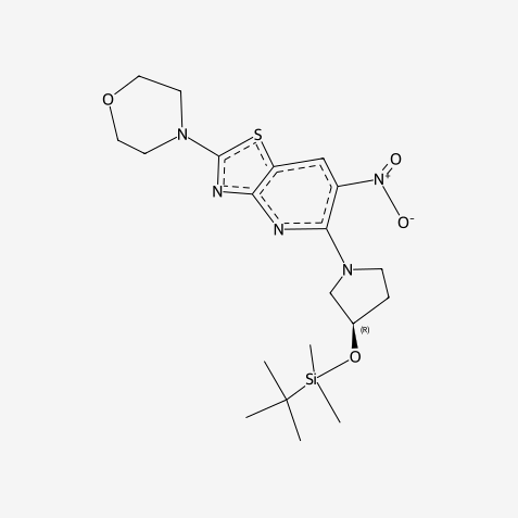 CC(C)(C)[Si](C)(C)O[C@@H]1CCN(c2nc3nc(N4CCOCC4)sc3cc2[N+](=O)[O-])C1